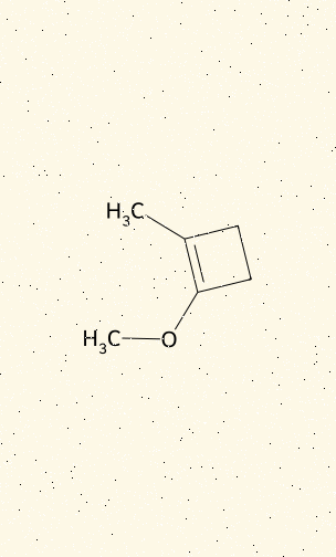 COC1=C(C)CC1